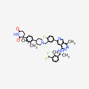 Cc1cc([C@@]2(C)CCC(=O)NC2=O)ccc1C1CCN(Cc2cc(-c3cc4c(N[C@H](C)c5cccc(C(F)F)c5C)nnc(C)c4cn3)ccc2F)CC1